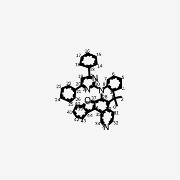 CC1(C)c2ccccc2N(c2nc(-c3ccccc3)cc(-c3ccccc3)n2)c2c1c1ccncc1c1c2oc2ccccc21